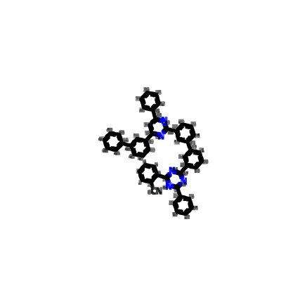 N#Cc1ccccc1-c1nc(-c2ccccc2)nc(-c2cccc(-c3cccc(-c4nc(-c5ccccc5)cc(-c5cccc(-c6ccccc6)c5)n4)c3)c2)n1